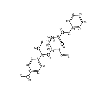 C=CC[C@@H]1OC(c2ccc(OC)cc2)OC[C@H]1NC(=O)OCc1ccccc1